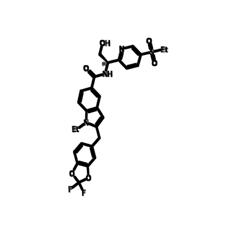 CCn1c(Cc2ccc3c(c2)OC(F)(F)O3)cc2cc(C(=O)N[C@@H](CO)c3ccc(S(=O)(=O)CC)cn3)ccc21